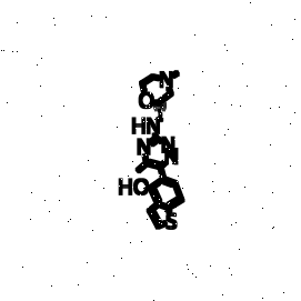 Cc1nc(NC[C@H]2CN(C)CCO2)nnc1-c1ccc2sccc2c1O